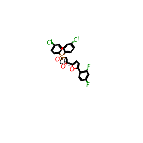 CS(=O)(CC(=O)c1ccc(-c2ccc(F)cc2F)o1)(c1ccc(Cl)cc1)c1ccc(Cl)cc1